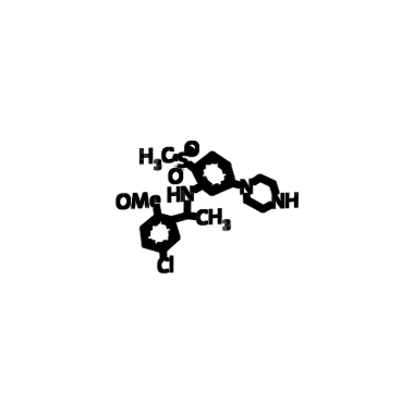 COc1ccc(Cl)cc1C(C)Nc1cc(N2CCNCC2)ccc1S(C)(=O)=O